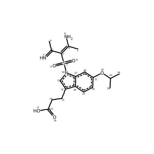 CC(=N)/C(=C(/C)N)S(=O)(=O)n1cc(CCC(=O)O)c2ccc(OC(C)C)cc21